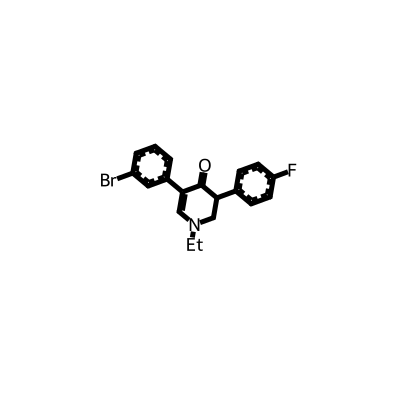 CCN1C=C(c2cccc(Br)c2)C(=O)C(c2ccc(F)cc2)C1